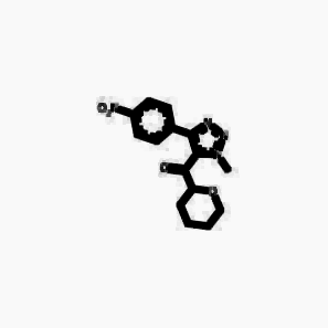 Cn1nnc(-c2ccc([N+](=O)[O-])cc2)c1C(=O)C1CCCCO1